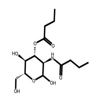 CCCC(=O)N[C@H]1C(O)O[C@H](CO)[C@@H](O)[C@@H]1OC(=O)CCC